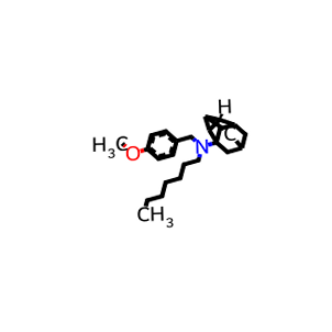 CCCCCCCN(Cc1ccc(OC)cc1)C12CC3CC(C1)[C@H]1C(C3)C12